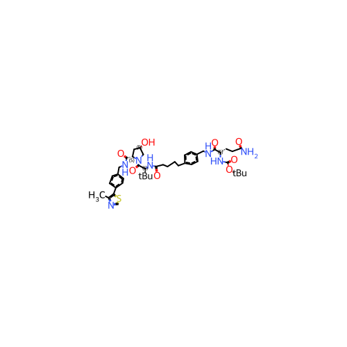 Cc1ncsc1-c1ccc(CNC(=O)[C@@H]2C[C@@H](O)CN2C(=O)[C@@H](NC(=O)CCCCc2ccc(CNC(=O)[C@H](CCC(N)=O)NC(=O)OC(C)(C)C)cc2)C(C)(C)C)cc1